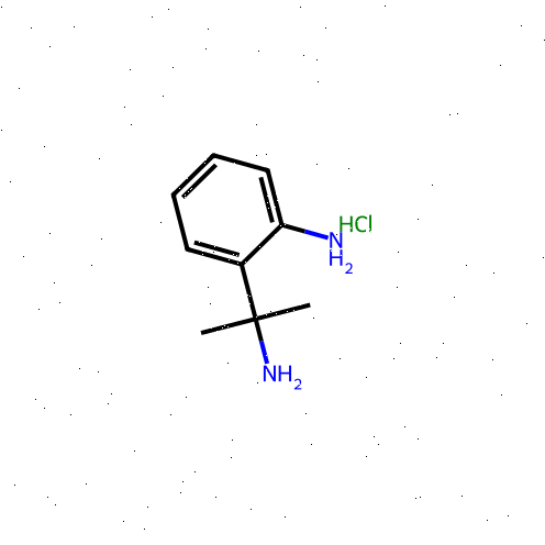 CC(C)(N)c1ccccc1N.Cl